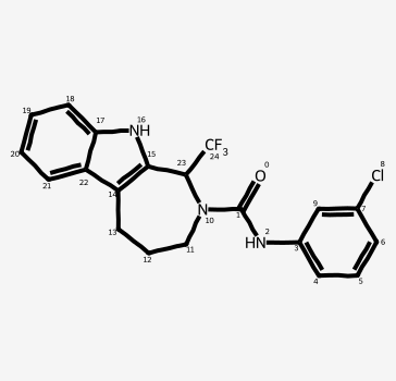 O=C(Nc1cccc(Cl)c1)N1CCCc2c([nH]c3ccccc23)C1C(F)(F)F